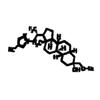 CCOC[C@@]1(O)CC[C@H]2[C@H](CC[C@@H]3[C@@H]2CC[C@]2(C)[C@@H]([C@H](Cn4cc(C#N)cn4)C(F)(F)F)CC[C@@H]32)C1